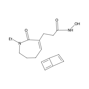 CCN1CCCC=C(CCC(=O)NO)C1=O.c1cc2ccc1-2